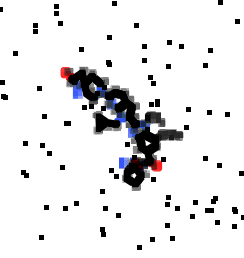 COc1cc(C(=O)N2CC3CCC2[C@@H]3N)cc2nc(-c3cc4ccc(N5CCC6(CC5)CC(=O)N6)nc4n3CC3CC3)n(C)c12